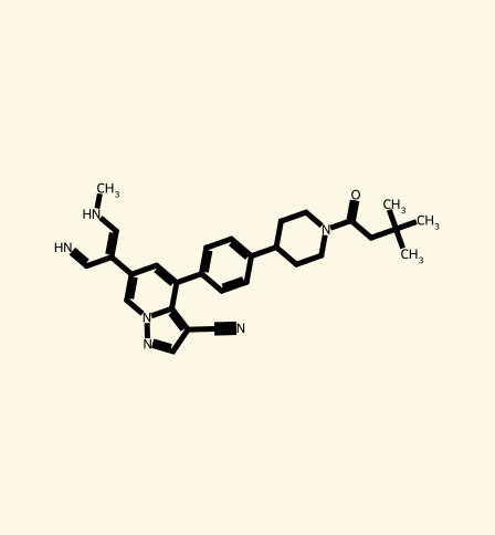 CN/C=C(\C=N)c1cc(-c2ccc(C3CCN(C(=O)CC(C)(C)C)CC3)cc2)c2c(C#N)cnn2c1